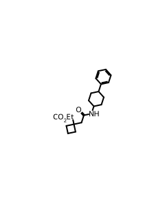 CCOC(=O)C1(CC(=O)NC2CCC(c3ccccc3)CC2)CCC1